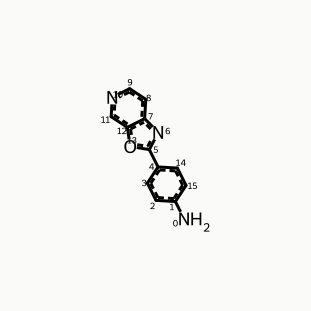 Nc1ccc(-c2nc3ccncc3o2)cc1